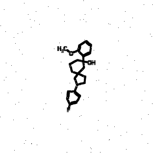 COc1ccccc1C1(O)CCCC2(CCC(c3ccc(F)cc3)C2)C1